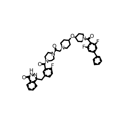 O=C(CN1CCC(OC2CCN(C(=O)c3c(F)cc(-c4ccccc4)cc3F)CC2)CC1)N1CCN(C(=O)c2cc(Cc3n[nH]c(=O)c4ccccc34)ccc2F)CC1